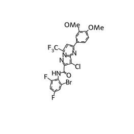 COc1ccc(-c2cc(C(F)(F)F)n3nc(C(=O)Nc4c(F)cc(F)cc4Br)c(Cl)c3n2)cc1OC